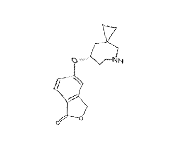 O=C1OCc2cc(O[C@H]3CNCC4(CC4)C3)ccc21